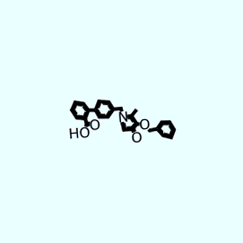 Cc1c(OCc2ccccc2)c(=O)ccn1Cc1ccc(-c2ccccc2C(=O)O)cc1